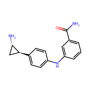 NC(=O)c1cccc(Nc2ccc([C@H]3C[C@@H]3N)cc2)c1